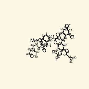 COc1ccc(OC(=O)O[C@@H](Cc2c(Cl)c[n+]([O-])cc2Cl)c2ccc(OC(F)F)c(OCC3CC3)c2)cc1NS(=O)(=O)CCCN1CCOCC1